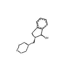 OC1c2ccccc2C[C@@H]1CN1CCOCC1